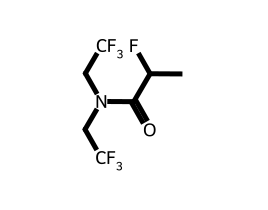 CC(F)C(=O)N(CC(F)(F)F)CC(F)(F)F